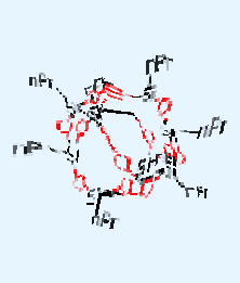 CCC[Si]12CO[Si]3(CCC)O[Si]4(CCC)O[Si]5(CCC)CO[Si](CCC)(O[Si](CCC)(O1)O4)O[Si](CCC)(O2)O[Si](CCC)(O5)O3